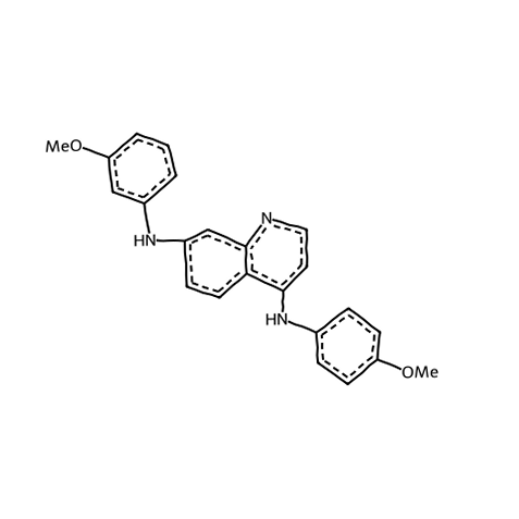 COc1ccc(Nc2ccnc3cc(Nc4cccc(OC)c4)ccc23)cc1